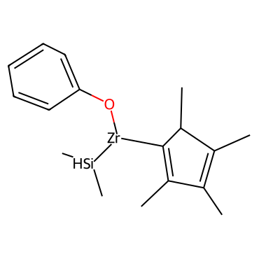 CC1=C(C)C(C)[C]([Zr]([O]c2ccccc2)[SiH](C)C)=C1C